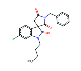 O=C(O)CCCN1C(=O)C2(CC(=O)N(Cc3ccccc3)C2=O)c2ccc(Cl)cc21